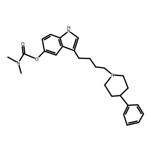 CN(C)C(=O)Oc1ccc2[nH]cc(CCCCN3CCC(c4ccccc4)CC3)c2c1